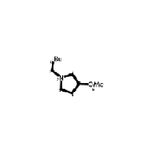 CCC(C)CN1CCC(OC)C1